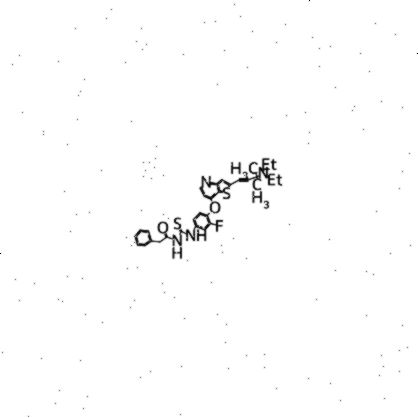 CCN(CC)C(C)(C)C#Cc1cc2nccc(Oc3ccc(NC(=S)NC(=O)Cc4ccccc4)cc3F)c2s1